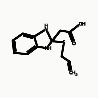 C=CCSC1(CC(=O)O)Nc2ccccc2N1